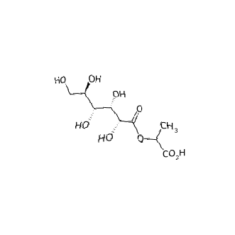 CC(OC(=O)[C@H](O)[C@@H](O)[C@H](O)[C@H](O)CO)C(=O)O